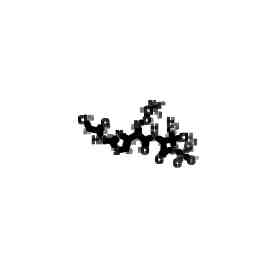 CON=C(C(=O)NC1C(=O)N(S(=O)(=O)[O-])C1(C)C)c1csc(NC(=O)CCl)n1.[Na+]